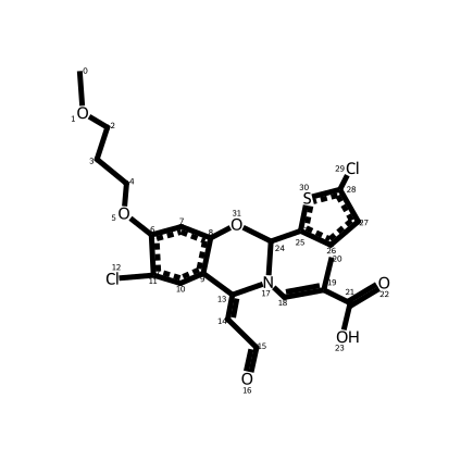 COCCCOc1cc2c(cc1Cl)/C(=C/C=O)N(/C=C(\C)C(=O)O)C(c1ccc(Cl)s1)O2